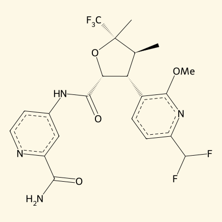 COc1nc(C(F)F)ccc1[C@@H]1[C@H](C(=O)Nc2ccnc(C(N)=O)c2)O[C@](C)(C(F)(F)F)[C@H]1C